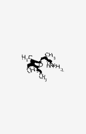 CCC[C@@H]1O[C@H](C[C@H](C)CCPP)[C@H](C)C1CC